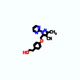 Cc1nn(-c2ncccn2)c(COc2ccc(CCO)cc2)c1C#N